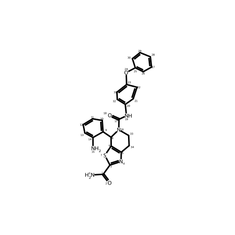 NC(=O)c1nc2c(s1)C(c1ccccc1N)N(C(=O)Nc1ccc(Oc3ccccc3)cc1)CC2